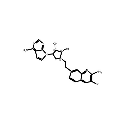 Nc1nc2cc(CC[C@H]3CC(n4ccc5c(N)ncnc54)[C@H](O)[C@@H]3O)ccc2cc1Br